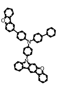 c1ccc(-c2ccc(N(c3ccc(-c4ccc5oc6ccccc6c5c4)cc3)c3ccc(-n4c5ccccc5c5cc6c(cc54)oc4ccccc46)cc3)cc2)cc1